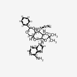 CC1(C)O[C@@H]2[C@H](N=[N+]=[N-])[C@@H]3OC(c4ccccc4)OC[C@H]3O[C@@H](n3cnc4c(N)ncnc43)[C@@H]2O1